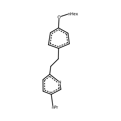 CCCCCCOc1ccc(CCc2ccc(CCC)cn2)cc1